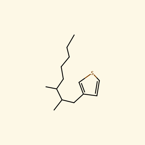 CCCCCC(C)C(C)Cc1ccsc1